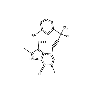 CCOC(=O)c1c(C)[nH]c2c(=O)n(C)cc(C#CC(O)(c3cccc(N)c3)C(F)(F)F)c12